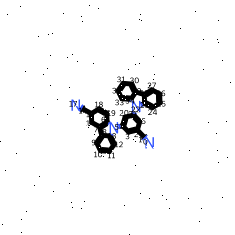 N#Cc1cc(-n2c3c(c4ccccc42)CC(C#N)C=C3)cc(-n2c3ccccc3c3ccccc32)c1